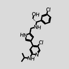 CC(C)Nc1cc(-c2c[nH]c(CN[C@H](CO)c3cccc(Cl)c3)c2)c(Cl)cn1